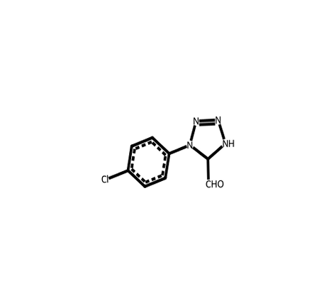 O=CC1NN=NN1c1ccc(Cl)cc1